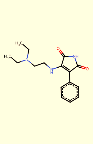 CCN(CC)CCNC1=C(c2ccccc2)C(=O)NC1=O